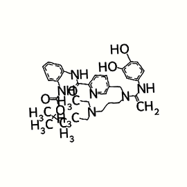 C=C(Nc1ccc(O)c(O)c1)N(CCCN(CC)CC)Cc1ccc(C(=O)Nc2ccccc2NC(=O)OC(C)(C)C)nc1